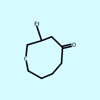 CCC1CCCCCCC(=O)C1